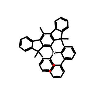 Cc1c2c(c(N(c3ccccc3)c3ccccc3-c3ccccc3)c3c1-c1ccccc1C3(C)C)C(C)(C)c1ccccc1-2